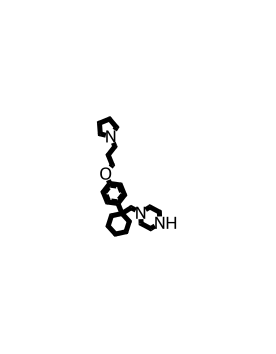 c1cc(C2(CN3CCNCC3)CCCCC2)ccc1OCCCN1CCCC1